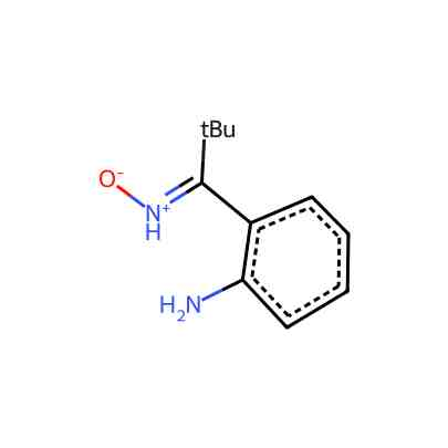 CC(C)(C)C(=[NH+][O-])c1ccccc1N